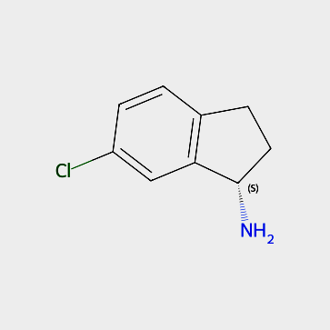 N[C@H]1CCc2ccc(Cl)cc21